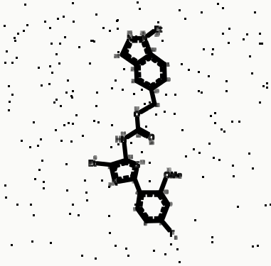 CCc1nc(-c2ccc(F)cc2OC)sc1NC(=O)OCc1ccc2c(cnn2CC)c1